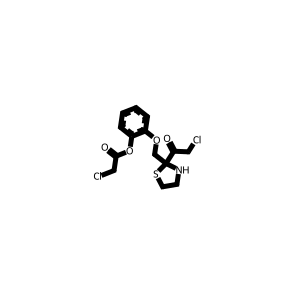 O=C(CCl)Oc1ccccc1OCC1(C(=O)CCl)NCCS1